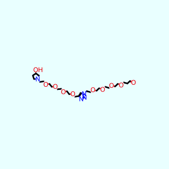 O=CCCOCCOCCOCCOCCn1cc(COCCOCCOCCOCCN2CC[C@H](O)C2)nn1